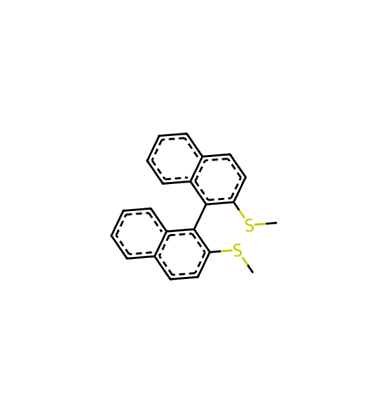 CSc1ccc2ccccc2c1-c1c(SC)ccc2ccccc12